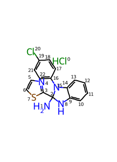 Cl.NC1(c2nccs2)Nc2ccccc2N1c1ccc(Cl)cc1